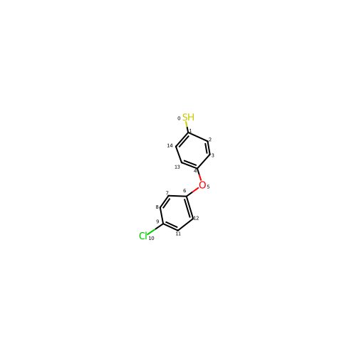 Sc1ccc(Oc2ccc(Cl)cc2)cc1